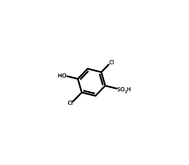 O=S(=O)(O)c1cc(Cl)c(O)cc1Cl